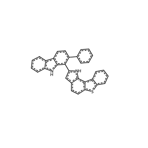 c1ccc(-c2ccc3c([nH]c4ccccc43)c2-c2cc3ccc4sc5ccccc5c4c3[nH]2)cc1